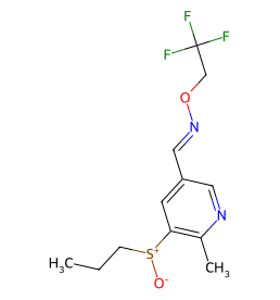 CCC[S+]([O-])c1cc(/C=N/OCC(F)(F)F)cnc1C